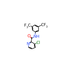 O=C(Nc1cc(C(F)(F)F)cc(C(F)(F)F)c1)c1ncccc1Cl